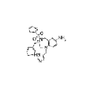 Nc1ccc2c(c1)CN(S(=O)(=O)c1cccs1)[C@H](Cc1ccccc1)CN2Cc1cnc[nH]1